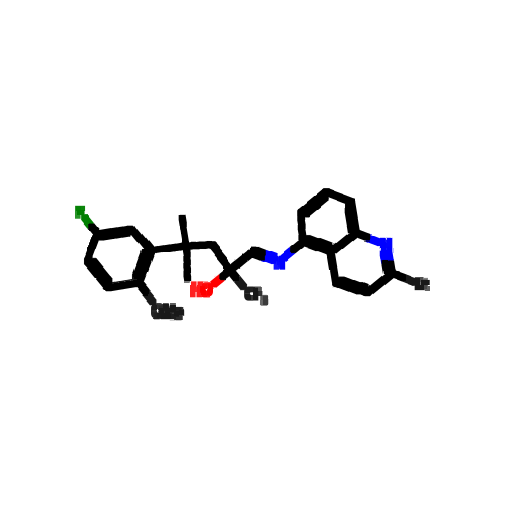 CCc1ccc2c(/N=C/C(O)(CC(C)(C)c3cc(F)ccc3OC)C(F)(F)F)cccc2n1